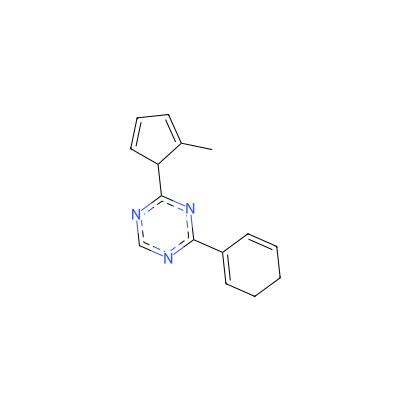 CC1=CC=CC1c1ncnc(C2=CCCC=C2)n1